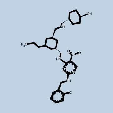 CCCC1C[C@@H](CNC[C@H]2CC[C@H](O)CC2)C[C@H](CNc2nc(NCc3ccccc3Cl)ncc2[N+](=O)[O-])C1